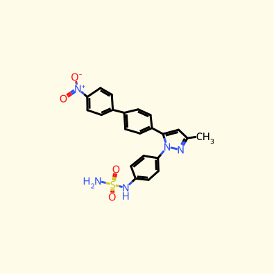 Cc1cc(-c2ccc(-c3ccc([N+](=O)[O-])cc3)cc2)n(-c2ccc(NS(N)(=O)=O)cc2)n1